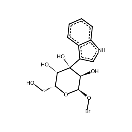 OC[C@H]1O[C@H](OBr)[C@H](O)[C@](O)(c2c[nH]c3ccccc23)[C@H]1O